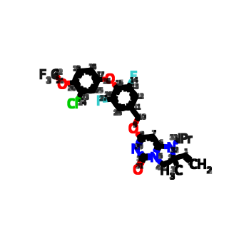 C=CC1(C)Cn2c(cc(OCc3cc(F)c(Oc4ccc(OC(F)(F)F)c(Cl)c4)c(F)c3)nc2=O)N1C(C)C